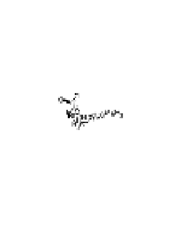 ClOCl.O.O.O.O.O.O.O.O.[MgH2]